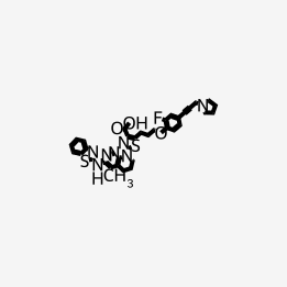 Cc1c(Nc2nc3ccccc3s2)nnc2c1CCCN2c1nc(C(=O)O)c(CCCOc2ccc(C#CCN3CCCC3)cc2F)s1